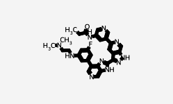 CCC(=O)Nc1cncc(-c2cc3c(-c4nc5c(-c6cc(F)cc(NCCN(C)C)c6)cncc5[nH]4)n[nH]c3cn2)c1